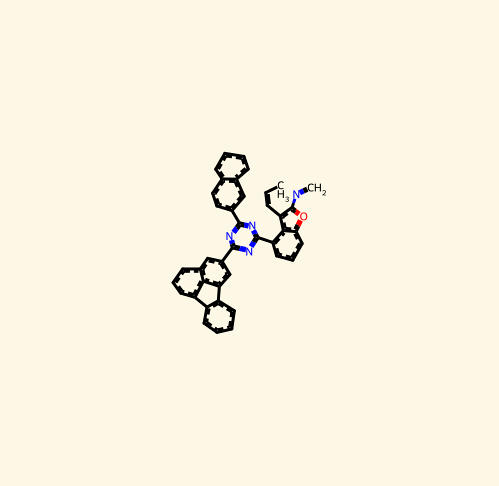 C=Nc1oc2cccc(-c3nc(-c4ccc5ccccc5c4)nc(-c4cc5c6c(cccc6c4)-c4ccccc4-5)n3)c2c1/C=C\C